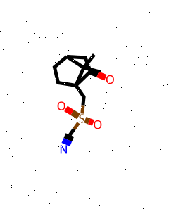 CC1(C)C2CCC1(CS(=O)(=O)C#N)C(=O)C2